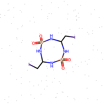 O=S1(=O)NC(CI)NS(=O)(=O)NC(CI)N1